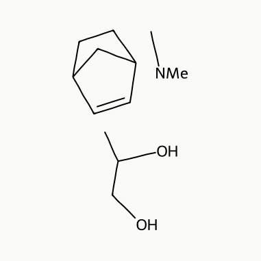 C1=CC2CCC1C2.CC(O)CO.CNC